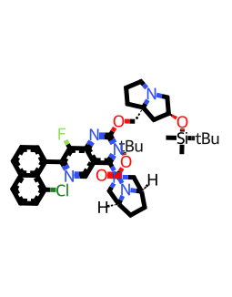 CC(C)(C)OC(=O)N1[C@@H]2CC[C@H]1CN(c1nc(OC[C@]34CCCN3C[C@@H](O[Si](C)(C)C(C)(C)C)C4)nc3c(F)c(-c4cccc5cccc(Cl)c45)ncc13)C2